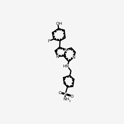 NS(=O)(=O)c1ccc(CNc2nccn3c(-c4ccc(O)cc4F)cnc23)cc1